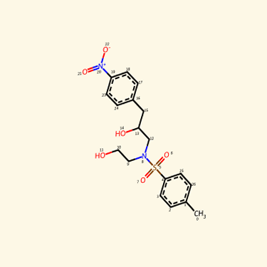 Cc1ccc(S(=O)(=O)N(CCO)CC(O)Cc2ccc([N+](=O)[O-])cc2)cc1